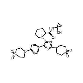 N#CC1(NC(=O)[C@@H]2CCCC[C@H]2c2nc(C3CCS(=O)(=O)CC3)sc2-c2ccc(N3CCS(=O)(=O)CC3)cc2)CC1